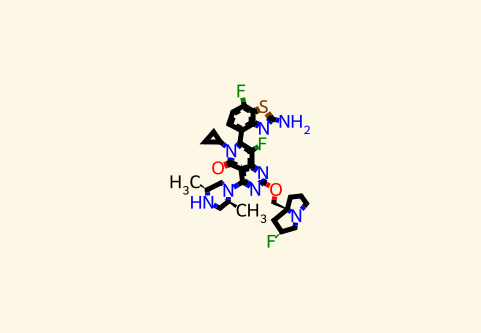 C[C@@H]1CN(c2nc(OC[C@@]34CCCN3C[C@H](F)C4)nc3c(F)c(-c4ccc(F)c5sc(N)nc45)n(C4CC4)c(=O)c23)[C@@H](C)CN1